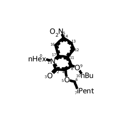 CCCCCCn1c(=O)c(OCC(C)CCC)c(OCCCC)c2ccc([N+](=O)[O-])cc21